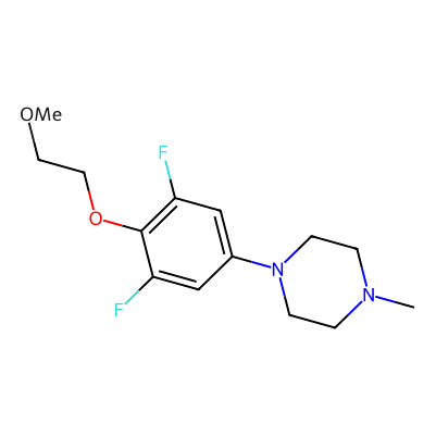 COCCOc1c(F)cc(N2CCN(C)CC2)cc1F